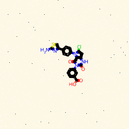 Nc1nc(-c2ccc(-n3c(Cl)cc4[nH]c(=O)n(-c5cccc(C(=O)O)c5)c(=O)c43)cc2)cs1